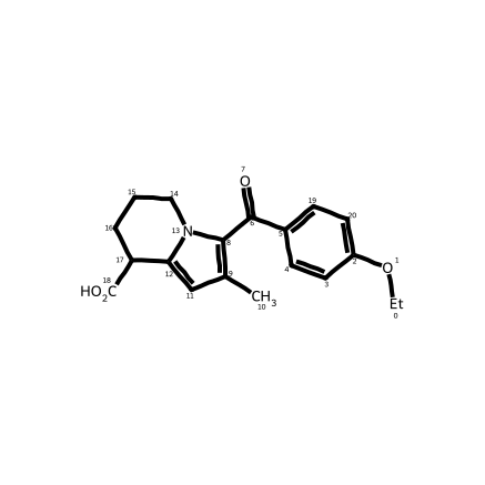 CCOc1ccc(C(=O)c2c(C)cc3n2CCCC3C(=O)O)cc1